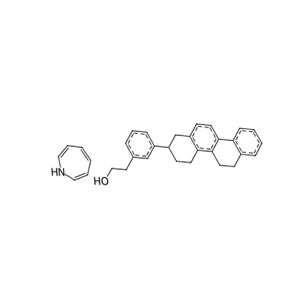 C1=CC=CNC=C1.OCCc1cccc(C2CCc3c(ccc4c3CCc3ccccc3-4)C2)c1